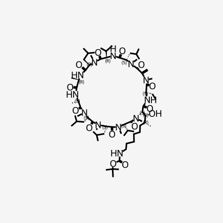 C=C1C(=O)N(C)[C@@H](CC(C)C)C(=O)N[C@H](C(C)C)C(=O)N(C)[C@H](CC(C)C)C(=O)N[C@H](C)C(=O)N[C@@H](C)C(=O)N(C)[C@@H](CC(C)C)C(=O)N(C)[C@@H](CC(C)C)C(=O)N(C)[C@@H](C(C)C)C(=O)N(C)[C@@H]([C@H](O)[C@H](C)CCCCCCNC(=O)OC(C)(C)C)C(=O)N[C@@H](CC)C(=O)N1C